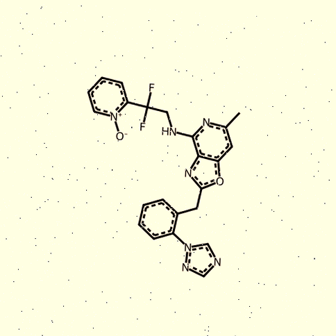 Cc1cc2oc(Cc3ccccc3-n3cncn3)nc2c(NCC(F)(F)c2cccc[n+]2[O-])n1